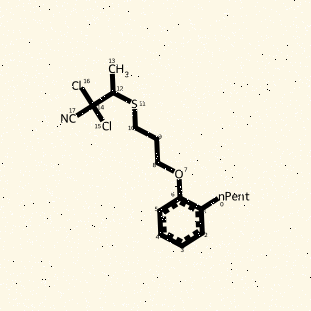 CCCCCc1ccccc1OCCCSC(C)C(Cl)(Cl)C#N